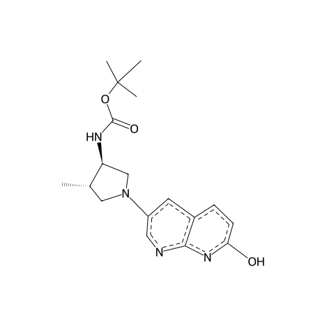 C[C@H]1CN(c2cnc3nc(O)ccc3c2)C[C@@H]1NC(=O)OC(C)(C)C